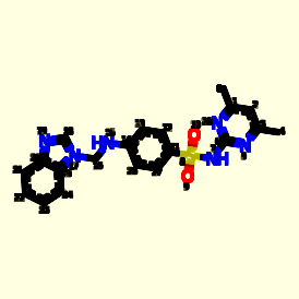 Cc1cc(C)nc(NS(=O)(=O)c2ccc(NCn3cnc4ccccc43)cc2)n1